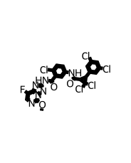 COc1ncc(F)c2nc(NC(=O)c3cc(NC(=O)C4C(c5cc(Cl)cc(Cl)c5)C4(Cl)Cl)ccc3Cl)nn12